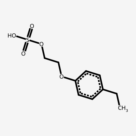 CCc1ccc(OCCOS(=O)(=O)O)cc1